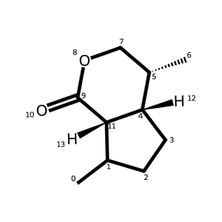 CC1CC[C@H]2[C@@H](C)COC(=O)[C@@H]12